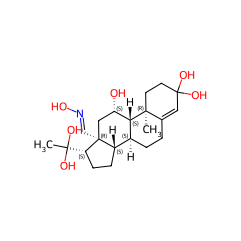 CC(O)(O)[C@H]1CC[C@H]2[C@@H]3CCC4=CC(O)(O)CC[C@]4(C)[C@H]3[C@@H](O)C[C@]12C=NO